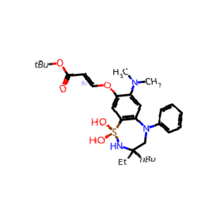 CCCCC1(CC)CN(c2ccccc2)c2cc(N(C)C)c(O/C=C/C(=O)OC(C)(C)C)cc2S(O)(O)N1